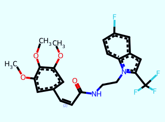 COc1cc(/C=C\C(=O)NCCn2c(C(F)(F)F)cc3cc(F)ccc32)cc(OC)c1OC